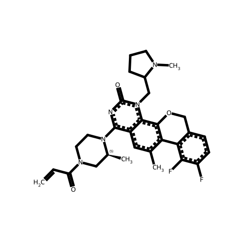 C=CC(=O)N1CCN(c2nc(=O)n(CC3CCCN3C)c3c4c(c(C)cc23)-c2c(ccc(F)c2F)CO4)[C@@H](C)C1